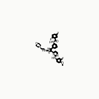 COc1ccc(Nc2nccc(-c3sc(NCCN4CCOCC4)nc3-c3cccc(NC(=O)c4cc(F)ccc4F)c3)n2)cc1F